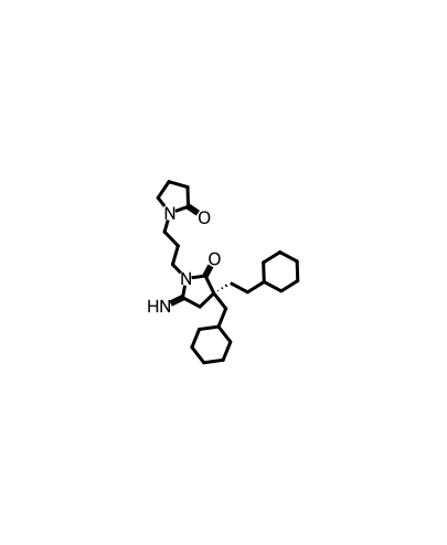 N=C1C[C@](CCC2CCCCC2)(CC2CCCCC2)C(=O)N1CCCN1CCCC1=O